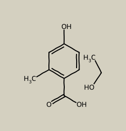 CCO.Cc1cc(O)ccc1C(=O)O